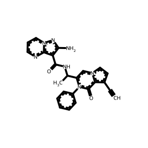 C#Cc1ccn2cc(C(C)NC(=O)c3c(N)nn4cccnc34)n(-c3ccccc3)c(=O)c12